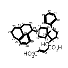 O=C(O)C=CC(=O)O.OC1CCN(c2ccccc2)C12CCN(C1CCC3CCCc4cccc1c43)CC2